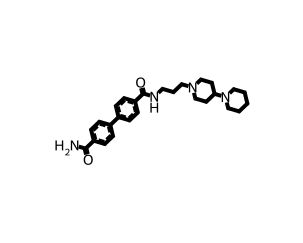 NC(=O)c1ccc(-c2ccc(C(=O)NCCCN3CCC(N4CCCCC4)CC3)cc2)cc1